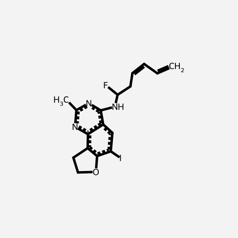 C=C/C=C\CC(F)Nc1nc(C)nc2c3c(c(I)cc12)OCC3